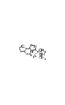 CNC(C)(C)c1ncc2c3c(ccn12)CCO3